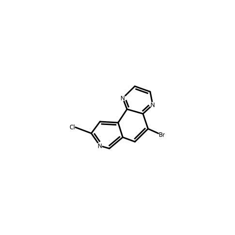 Clc1cc2c(cn1)cc(Br)c1nccnc12